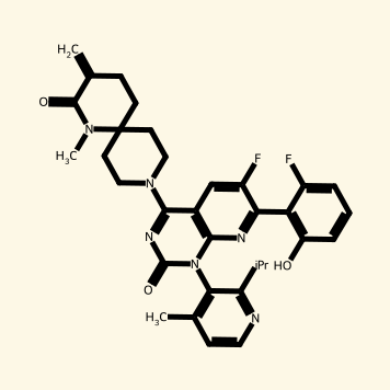 C=C1CCC2(CCN(c3nc(=O)n(-c4c(C)ccnc4C(C)C)c4nc(-c5c(O)cccc5F)c(F)cc34)CC2)N(C)C1=O